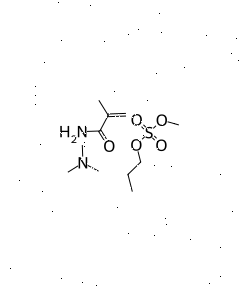 C=C(C)C(N)=O.CCCOS(=O)(=O)OC.CN(C)C